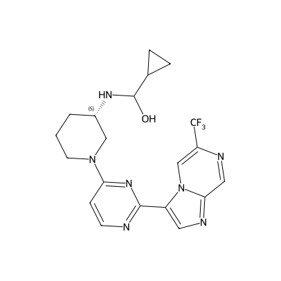 OC(N[C@H]1CCCN(c2ccnc(-c3cnc4cnc(C(F)(F)F)cn34)n2)C1)C1CC1